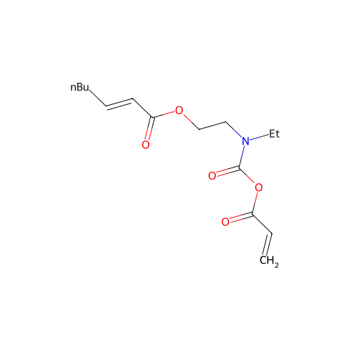 C=CC(=O)OC(=O)N(CC)CCOC(=O)C=CCCCC